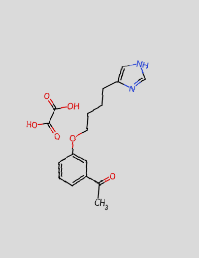 CC(=O)c1cccc(OCCCCc2c[nH]cn2)c1.O=C(O)C(=O)O